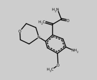 C=C(C(N)=O)c1cc(N)c(OC)cc1N1CCOCC1